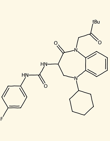 CC(C)(C)C(=O)CN1C(=O)C(NC(=O)Nc2ccc(F)cc2)CN(C2CCCCC2)c2ccccc21